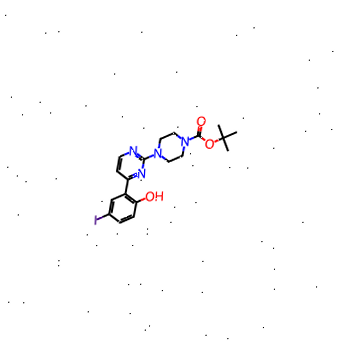 CC(C)(C)OC(=O)N1CCN(c2nccc(-c3cc(I)ccc3O)n2)CC1